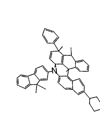 CC1C2=C3C(C)(c4ccccc41)c1c(ccc4cc(C5CCCCC5)ccc14)N(c1ccc4c(c1)C(C)(C)c1ccccc1-4)C3(C)C=CC2(C)c1ccccc1